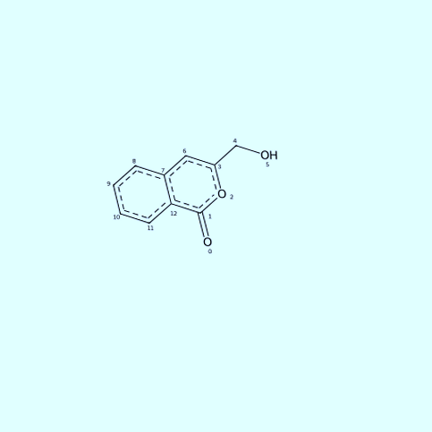 O=c1oc(CO)cc2ccccc12